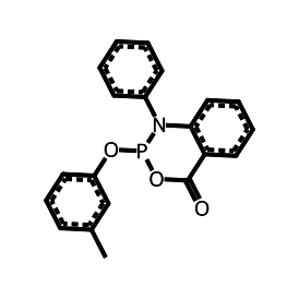 Cc1cccc(OP2OC(=O)c3ccccc3N2c2ccccc2)c1